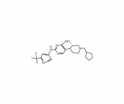 CC(F)(F)c1cc(Nc2ncc(C3CCN(CC4CCCC4)CC3)c(N)n2)ccn1